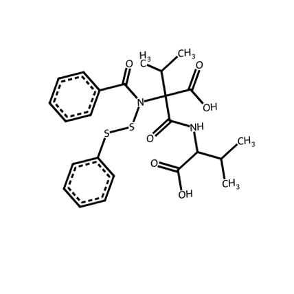 CC(C)C(NC(=O)C(C(=O)O)(C(C)C)N(SSc1ccccc1)C(=O)c1ccccc1)C(=O)O